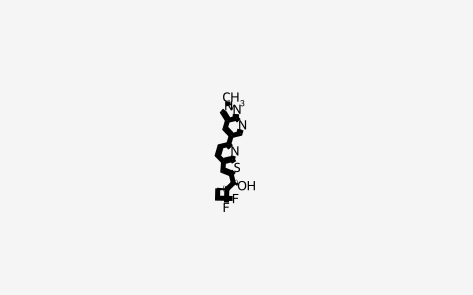 Cn1cc2cc(-c3ccc4cc([C@@H](O)[C@@H]5CCC5(F)F)sc4n3)cnc2n1